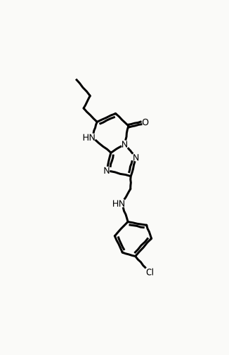 CCCc1cc(=O)n2nc(CNc3ccc(Cl)cc3)nc2[nH]1